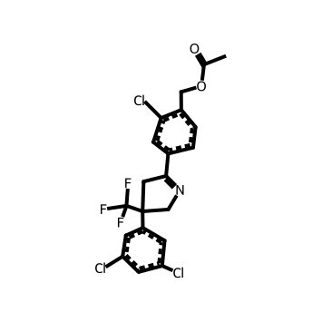 CC(=O)OCc1ccc(C2=NCC(c3cc(Cl)cc(Cl)c3)(C(F)(F)F)C2)cc1Cl